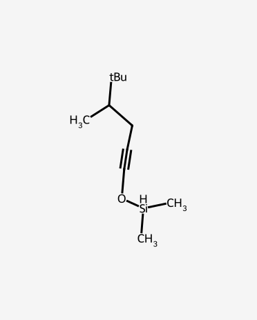 CC(CC#CO[SiH](C)C)C(C)(C)C